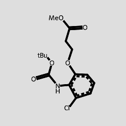 COC(=O)CCOc1cccc(Cl)c1NC(=O)OC(C)(C)C